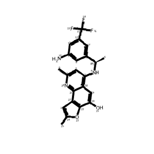 Cc1cc(N[C@H](C)c2cc(N)cc(C(F)(F)F)c2)c2cc(O)c3oc(C)cc3c2n1